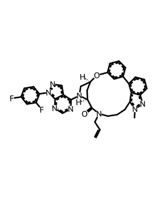 C=CCN1CCCc2c3c(cccc3nn2C)-c2cccc(c2)O[C@H]2C[C@@H](C1=O)N(c1ncnc3c1cnn3-c1ccc(F)cc1F)C2